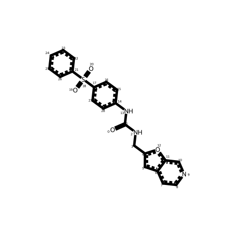 O=C(NCc1cc2ccncc2o1)Nc1ccc(S(=O)(=O)c2ccccc2)cc1